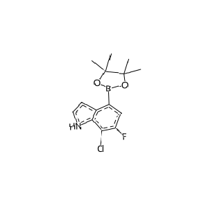 CC1(C)OB(c2cc(F)c(Cl)c3[nH]ccc23)OC1(C)C